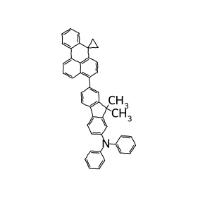 CC1(C)c2cc(-c3ccc4c5c(cccc35)-c3ccccc3C43CC3)ccc2-c2ccc(N(c3ccccc3)c3ccccc3)cc21